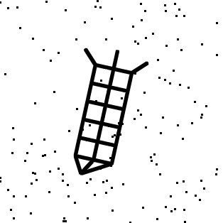 CC1C2C3C4C5C6C7C8C9C%10C%11C%12C(C)C1(C)C2%12C3%11C4%10C59C768